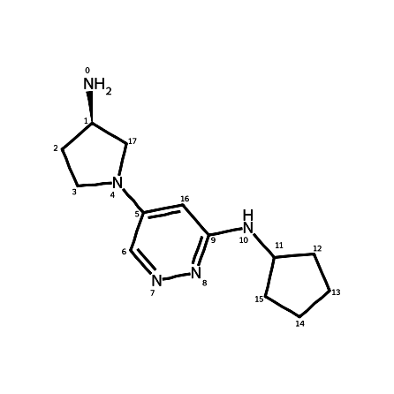 N[C@@H]1CCN(c2cnnc(NC3CCCC3)c2)C1